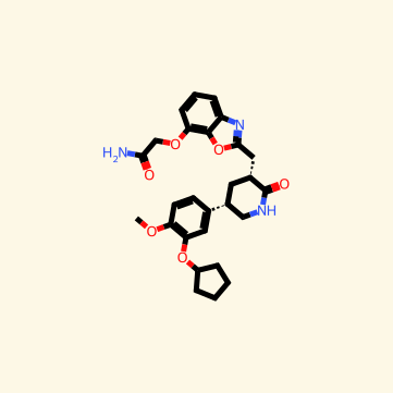 COc1ccc([C@H]2CNC(=O)[C@@H](Cc3nc4cccc(OCC(N)=O)c4o3)C2)cc1OC1CCCC1